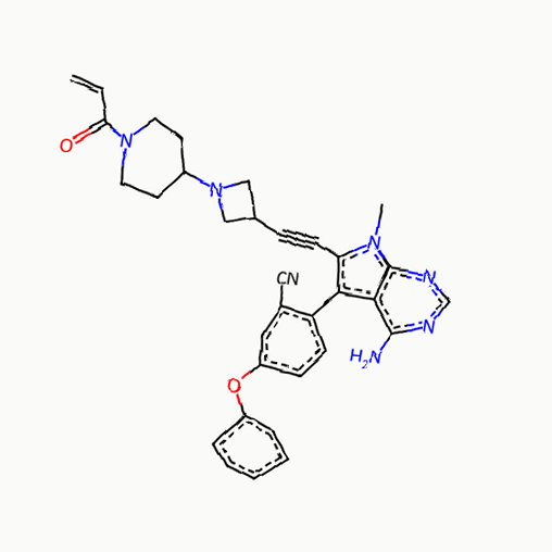 C=CC(=O)N1CCC(N2CC(C#Cc3c(-c4ccc(Oc5ccccc5)cc4C#N)c4c(N)ncnc4n3C)C2)CC1